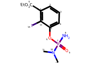 CCOC(=O)c1cccc(OP(N)(=O)N(C)C)c1I